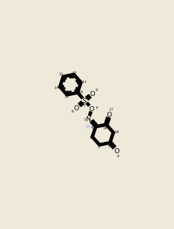 O=C1CC/C(=N/OS(=O)(=O)c2ccccc2)C(=O)C1